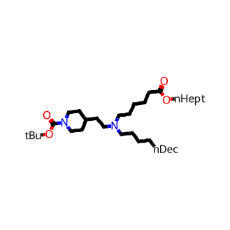 CCCCCCCCCCCCCCN(CCCCCC(=O)OCCCCCCC)CCC1CCN(C(=O)OC(C)(C)C)CC1